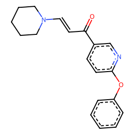 O=C(C=CN1CCCCC1)c1ccc(Oc2ccccc2)nc1